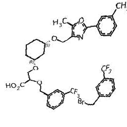 Cc1cccc(-c2nc(CO[C@H]3CCC[C@@H](OCC(OCc4cccc(C(F)(F)F)c4)C(=O)O)C3)c(C)o2)c1.FC(F)(F)c1cccc(CBr)c1